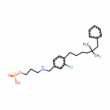 CC(C)(CCCCc1ccc(CNCCCO[PH](=O)O)cc1Cl)Cc1ccccc1